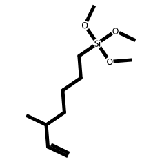 C=CC(C)CCCC[Si](OC)(OC)OC